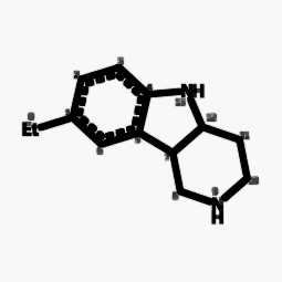 CCc1ccc2c(c1)C1CNCCC1N2